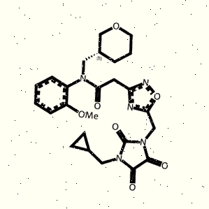 COc1ccccc1N(C[C@H]1CCCOC1)C(=O)Cc1noc(CN2C(=O)C(=O)N(CC3CC3)C2=O)n1